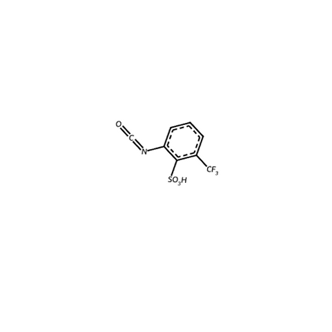 O=C=Nc1cccc(C(F)(F)F)c1S(=O)(=O)O